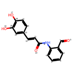 O=Cc1ccccc1NC(=O)/C=C/c1ccc(O)c(O)c1